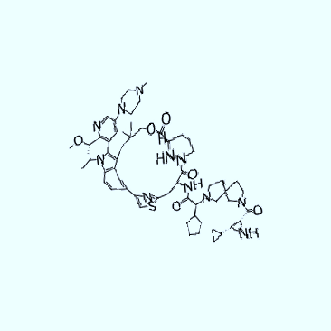 CCn1c(-c2cc(N3CCN(C)CC3)cnc2[C@H](C)OC)c2c3cc(ccc31)-c1csc(n1)C[C@H](NC(=O)[C@H](C1CCCC1)N1CC[C@]3(CCN(C(=O)[C@@H]4N[C@@H]4C4CC4)C3)C1)C(=O)N1CCC[C@H](N1)C(=O)OCC(C)(C)C2